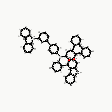 c1cc(-c2ccc(N(c3ccc4c5ccccc5c5ccccc5c4c3)c3ccccc3-c3cccc4oc5ccccc5c34)cc2)cc(-n2c3ccccc3c3ccccc32)c1